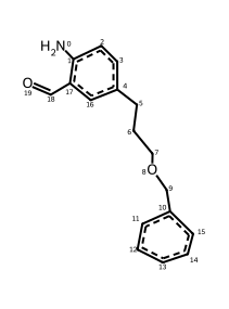 Nc1ccc(CCCOCc2ccccc2)cc1C=O